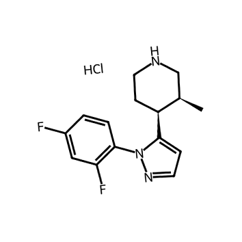 C[C@@H]1CNCC[C@@H]1c1ccnn1-c1ccc(F)cc1F.Cl